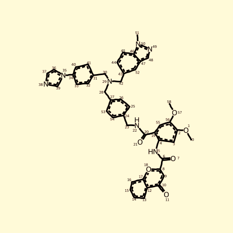 COc1cc(NC(=O)c2cc(=O)c3ccccc3o2)c(C(=O)NCc2ccc(CN(Cc3ccc(-n4ccnc4)cc3)Cc3ccc4c(cnn4C)c3)cc2)cc1OC